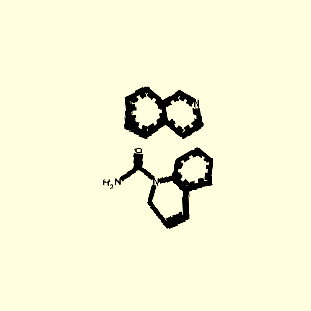 NC(=O)N1CC=Cc2ccccc21.c1ccc2cnccc2c1